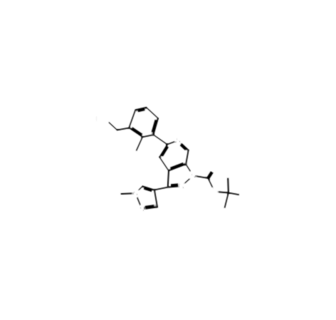 Cc1c(CO)cccc1-c1cc2c(-c3cnn(C)c3)nn(C(=O)OC(C)(C)C)c2cn1